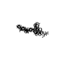 CC(C)OC(=O)OC(OC(=O)OC(C)C)C1CC(C(=O)O)(C(=O)O)CCN1Cc1ccc(-c2noc(-c3ccc(-c4ccccc4)c(F)c3)n2)cc1